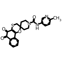 Cc1ccc(NC(=O)N2CCC3(CC2)CSC2=C(O3)c3ccccc3C(=O)C2=O)cn1